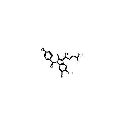 CC[C@@H](CCC(N)=O)c1c(C)n(C(=O)c2ccc(Cl)cc2)c2cc(F)c(O)cc12